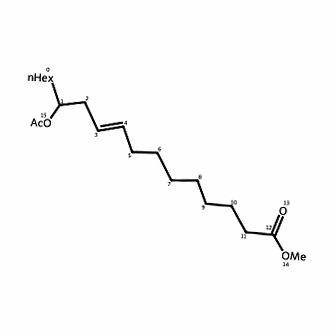 CCCCCCC(CC=CCCCCCCCC(=O)OC)OC(C)=O